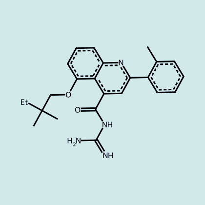 CCC(C)(C)COc1cccc2nc(-c3ccccc3C)cc(C(=O)NC(=N)N)c12